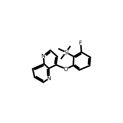 C[Si](C)(C)c1c(F)cccc1Oc1ccnc2cccnc12